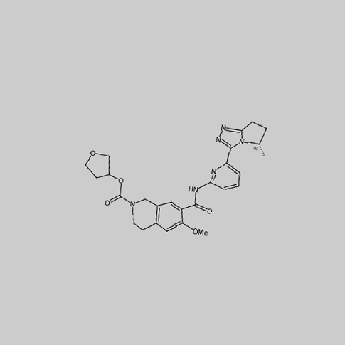 COc1cc2c(cc1C(=O)Nc1cccc(-c3nnc4n3[C@@H](C)CC4)n1)CN(C(=O)OC1CCOC1)CC2